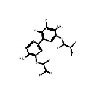 Cc1ccc(-c2cc(SC(F)C(F)F)c(C)c(F)c2F)cc1SC(F)C(F)F